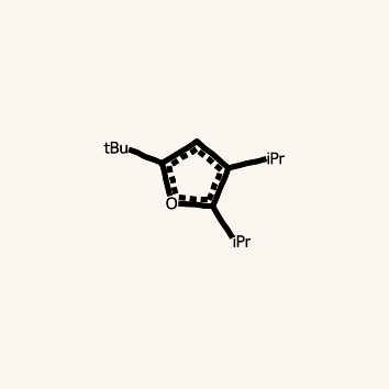 CC(C)c1cc(C(C)(C)C)oc1C(C)C